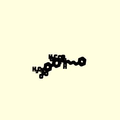 Cn1c(=O)oc2cc(N3CCN(C(=O)NCCCCc4ccccc4)C(C)(C)C3=O)ccc21